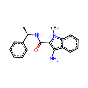 CCCCn1c(C(=O)N[C@H](C)c2ccccc2)c(N)c2ccccc21